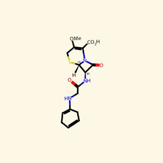 COC1=C(C(=O)O)N2C(=O)[C@@H](NC(=O)CNC3=CCC=CC3)[C@@H]2SC1